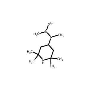 CCCN(C)N(C)C1CC(C)(C)NC(C)(C)C1